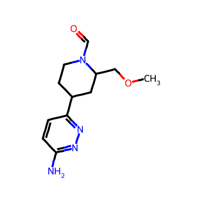 COCC1CC(c2ccc(N)nn2)CCN1C=O